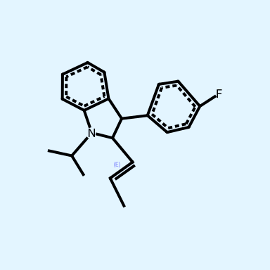 C/C=C/C1C(c2ccc(F)cc2)c2ccccc2N1C(C)C